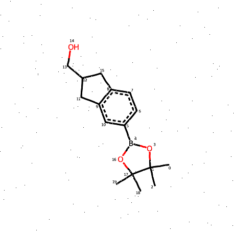 CC1(C)OB(c2ccc3c(c2)CC(CO)C3)OC1(C)C